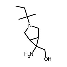 CCC(C)(C)N1CC2C(C1)C2(N)CO